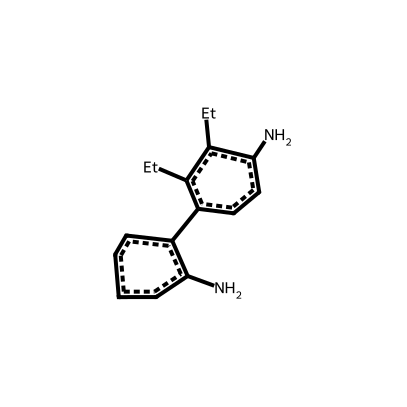 CCc1c(N)ccc(-c2ccccc2N)c1CC